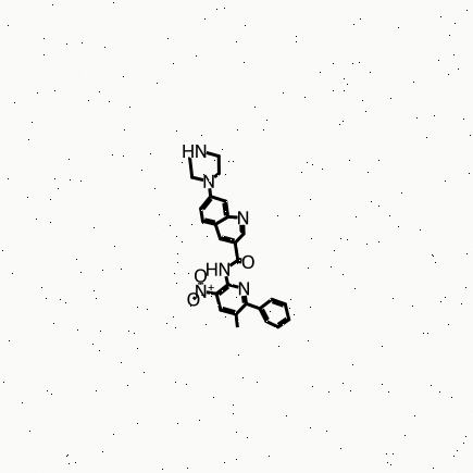 Cc1cc([N+](=O)[O-])c(NC(=O)c2cnc3cc(N4CCNCC4)ccc3c2)nc1-c1ccccc1